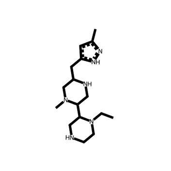 CCN1CCNCC1C1CNC(Cc2cc(C)n[nH]2)CN1C